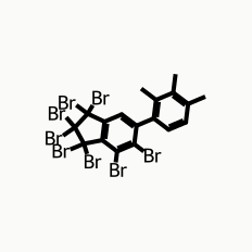 Cc1ccc(-c2cc3c(c(Br)c2Br)C(Br)(Br)C(Br)(Br)C3(Br)Br)c(C)c1C